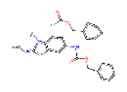 CO/N=c1/sc2cc(NC(=O)OCc3ccccc3)ccc2n1C.O=C(Cl)OCc1ccccc1